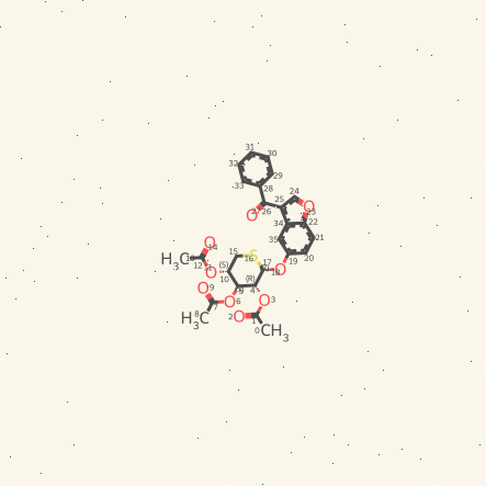 CC(=O)O[C@@H]1[C@@H](OC(C)=O)[C@H](OC(C)=O)CS[C@H]1Oc1ccc2occ(C(=O)c3ccccc3)c2c1